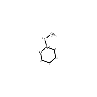 [SiH3][O][Al]1[CH2]CCC[O]1